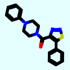 O=C(c1nnsc1-c1ccccc1)N1CCN(c2ccccc2)CC1